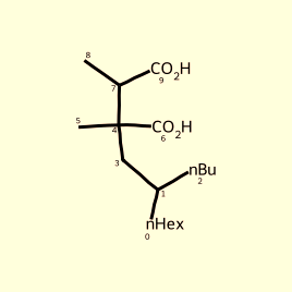 CCCCCCC(CCCC)CC(C)(C(=O)O)C(C)C(=O)O